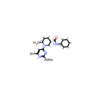 CNc1nc(C(C)C)cc(N2C[C@@H](C(=O)NC3CCCCC3)CC[C@@H]2C)n1